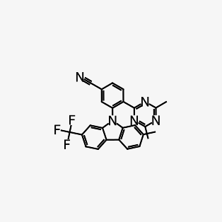 Cc1ccc2c3ccc(C(F)(F)F)cc3n(-c3cc(C#N)ccc3-c3nc(C)nc(C)n3)c2c1